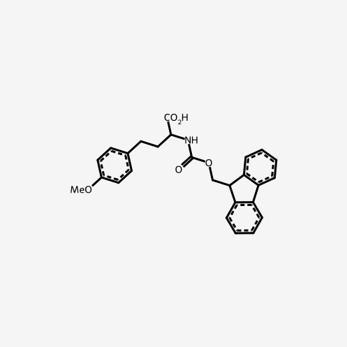 COc1ccc(CCC(NC(=O)OCC2c3ccccc3-c3ccccc32)C(=O)O)cc1